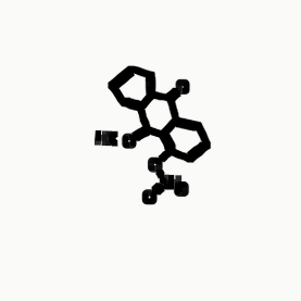 O=C1c2ccccc2C(=O)c2c(O[SH](=O)=O)cccc21.[KH]